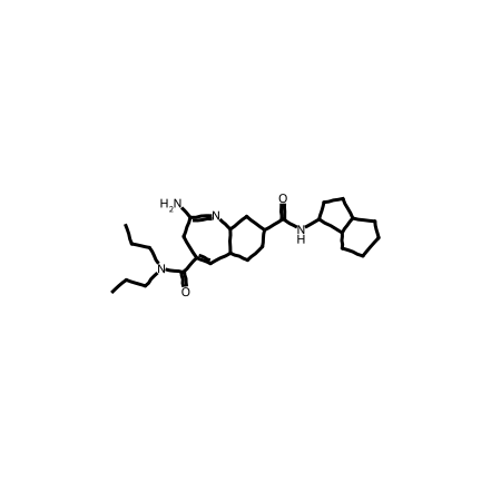 CCCN(CCC)C(=O)C1=CC2CCC(C(=O)NC3CCC4CCCCC43)CC2N=C(N)C1